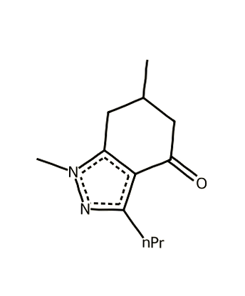 CCCc1nn(C)c2c1C(=O)CC(C)C2